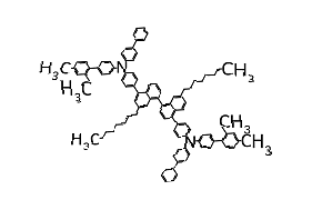 CCCCCCCCc1ccc2c(-c3ccc(N(c4ccc(-c5ccccc5)cc4)c4ccc(-c5ccc(C)cc5CC)cc4)cc3)ccc(-c3cccc4c(-c5ccc(N(c6ccc(-c7ccccc7)cc6)c6ccc(-c7ccc(C)cc7CC)cc6)cc5)cc(CCCCCCCC)cc34)c2c1